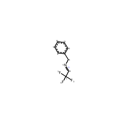 FC(F)(F)/C=N/Cc1ccccc1